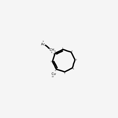 C1=CCCCCC=C1.CC(C)=O.[Cu]